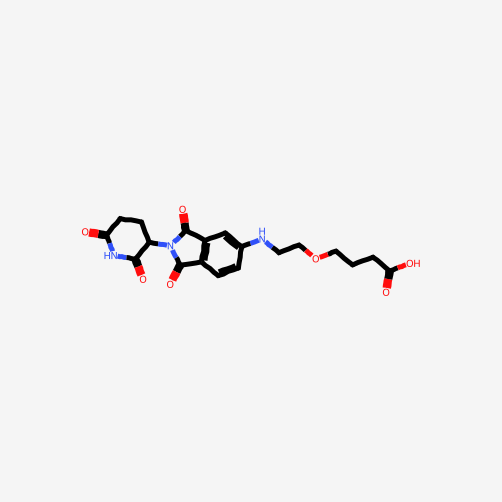 O=C(O)CCCOCCNc1ccc2c(c1)C(=O)N(C1CCC(=O)NC1=O)C2=O